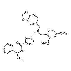 COc1ccc(CN(Cc2ccc3c(c2)OCO3)Cc2nc(C(=O)NC(C)c3ccccc3)cs2)c(OC)c1